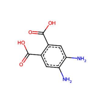 Nc1cc(C(=O)O)c(C(=O)O)cc1N